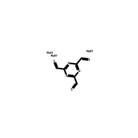 S=Cc1nc(C=S)nc(C=S)n1.[NaH].[NaH].[NaH]